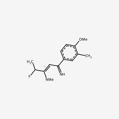 CN/C(=C\C(=N)c1ccc(OC)c(C)c1)C(C)F